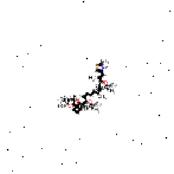 CC[C@@H](C(=O)C1([C@H](CC(=O)O)O[Si](C)(C)C(C)(C)C)CCC1)[C@@H](O[Si](C)(C)C(C)(C)C)[C@@H](C)CCC/C(C)=C\C[C@H](O[Si](C)(C)C(C)(C)C)/C(C)=C/c1csc(C)n1